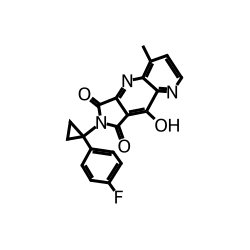 Cc1ccnc2c(O)c3c(nc12)C(=O)N(C1(c2ccc(F)cc2)CC1)C3=O